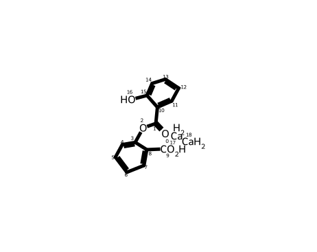 O=C(Oc1ccccc1C(=O)O)c1ccccc1O.[CaH2].[CaH2]